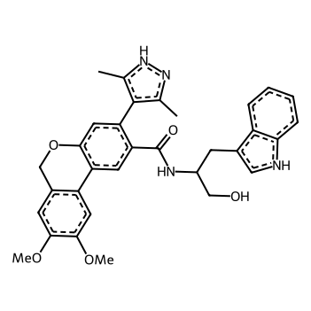 COc1cc2c(cc1OC)-c1cc(C(=O)NC(CO)Cc3c[nH]c4ccccc34)c(-c3c(C)n[nH]c3C)cc1OC2